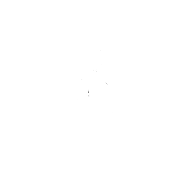 CCS(=O)(=O)N[C@@H]1[C@H](CC2(F)C=CC=C(c3ccccc3)C2F)N(C(=O)C2CC2)CC1(F)F